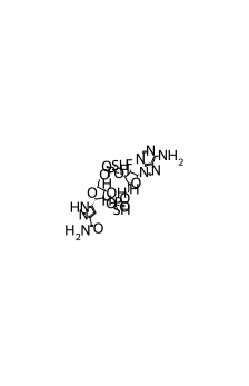 NC(=O)c1cc([C@@H]2OC3COP(=O)(S)O[C@H]4[C@@H](F)[C@H](n5cnc6c(N)ncnc65)O[C@@H]4COP(=O)(S)O[C@@H]2[C@@H]3O)[nH]n1